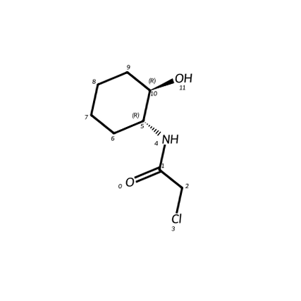 O=C(CCl)N[C@@H]1CCCC[C@H]1O